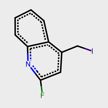 Fc1cc(CI)c2ccccc2n1